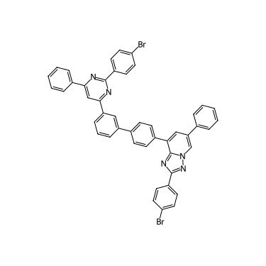 Brc1ccc(-c2nc(-c3ccccc3)cc(-c3cccc(-c4ccc(-c5cc(-c6ccccc6)cn6nc(-c7ccc(Br)cc7)nc56)cc4)c3)n2)cc1